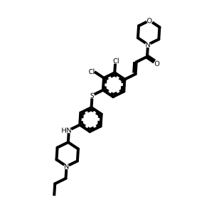 CCCN1CCC(Nc2cccc(Sc3ccc(/C=C/C(=O)N4CCOCC4)c(Cl)c3Cl)c2)CC1